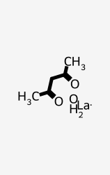 CC(=O)CC(C)=O.O.[La]